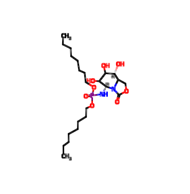 CCCCCCCCOP(=O)(N[C@@H]1C(O)C(O)[C@H](O)C2COC(=O)N21)OCCCCCCCC